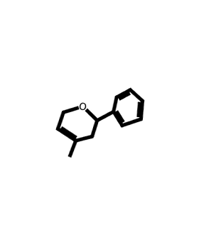 CC1=CCOC(c2ccccc2)C1